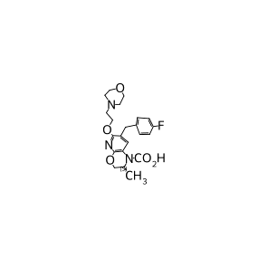 C[C@H]1COc2nc(OCCN3CCOCC3)c(Cc3ccc(F)cc3)cc2N1C(=O)O